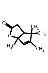 CC1=CC2(C)OC(=O)CC2C1(C)C